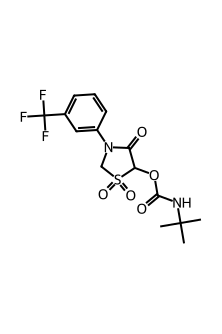 CC(C)(C)NC(=O)OC1C(=O)N(c2cccc(C(F)(F)F)c2)CS1(=O)=O